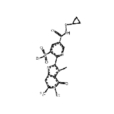 CCn1c(C(F)(F)F)cc2nc(-c3ncc(C(=O)NSC4CC4)cc3S(=O)(=O)CC)n(C)c2c1=O